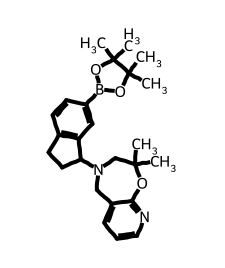 CC1(C)CN(C2CCc3ccc(B4OC(C)(C)C(C)(C)O4)cc32)Cc2cccnc2O1